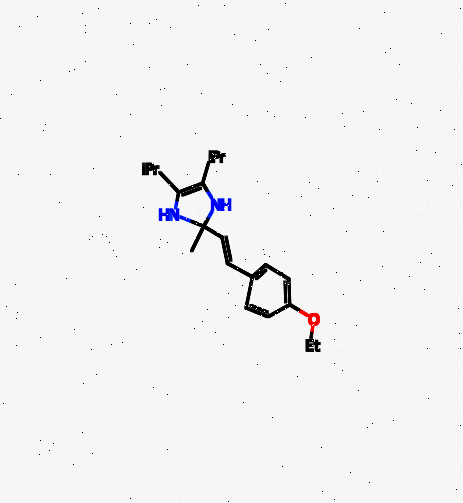 CCOc1ccc(C=CC2(C)NC(C(C)C)=C(C(C)C)N2)cc1